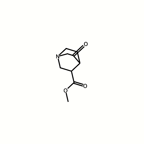 COC(=O)C1CN2CCC1C(=O)C2